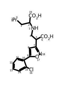 CC(C)CC(NCC(C(=O)O)c1cc(-c2ccccc2Cl)on1)C(=O)O